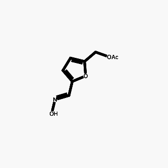 CC(=O)OCc1ccc(C=NO)o1